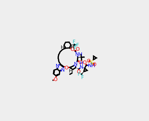 CC[C@@H]1[C@@H]2CN(C(=O)[C@H](C(C)(C)C)NC(=O)O[C@H]3[C@H](CCCCCc4nc5ccc(OC)cc5nc4O2)CCC[C@H]3C(F)(F)F)[C@@H]1C(=O)N[C@]1(C(=O)NS(=O)(=O)C2CC2)C[C@H]1C(F)F